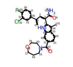 C=C(/C=C(/C(N)=O)c1[nH]c2cc(C(=O)N3CCCOCC3)ccc2c1I)c1ccc(F)c(Cl)c1